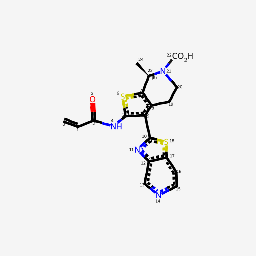 C=CC(=O)Nc1sc2c(c1-c1nc3cnccc3s1)CCN(C(=O)O)[C@@H]2C